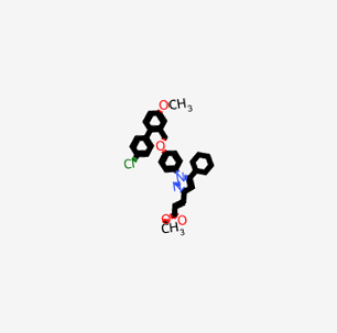 COC(=O)C=Cc1cc(C2CCCCC2)n(-c2ccc(OCc3cc(OC)ccc3-c3ccc(Cl)cc3)cc2)n1